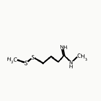 CNC(=N)CCCSSC